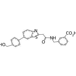 O=C(Cc1nc2ccc(-c3ccc(CO)cc3)cc2s1)NCc1cccc(C(=O)O)c1